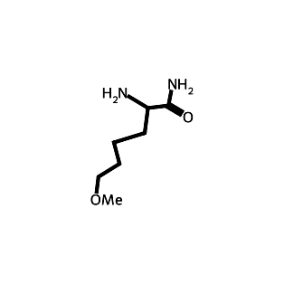 COCCCCC(N)C(N)=O